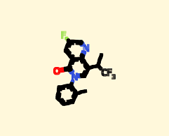 Cc1ccccc1-n1cc(C(C)C(F)(F)F)c2ncc(F)cc2c1=O